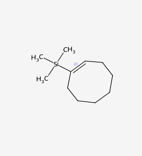 C[Si](C)(C)/C1=C/CCCCCC1